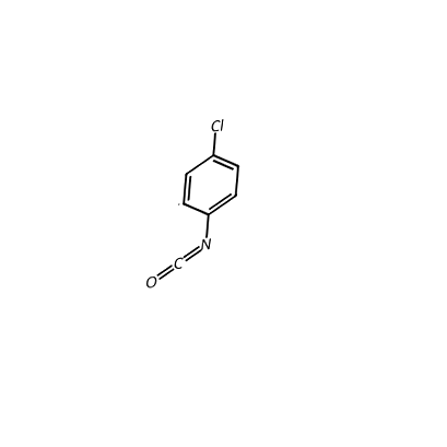 O=C=Nc1[c]cc(Cl)cc1